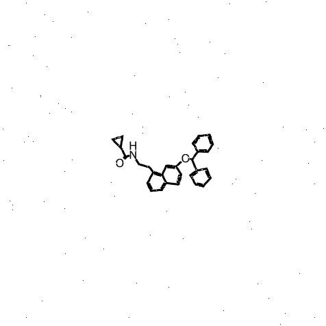 O=C(NCCc1cccc2ccc(OC(c3ccccc3)c3ccccc3)cc12)C1CC1